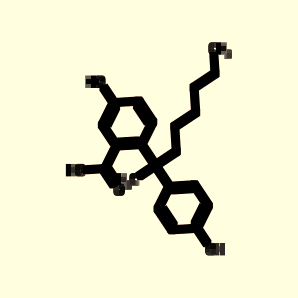 CCCCCCC(C)(c1ccc(O)cc1)c1ccc(O)cc1C(=O)O